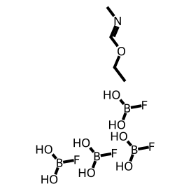 CCOC=NC.OB(O)F.OB(O)F.OB(O)F.OB(O)F